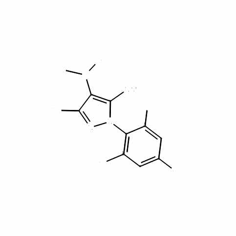 CNc1c([S+](C)[O-])c(C(C)=O)nn1-c1c(Cl)cc(C(F)(F)F)cc1Cl